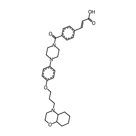 O=C(O)/C=C/c1ccc(C(=O)N2CCN(c3ccc(OCCCN4CCOC5CCCCC54)cc3)CC2)cc1